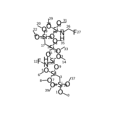 CO[Si](C[Si](OC)(OC)O[Si](NF)(OC)O[Si](C[Si](OC)(OC)O[Si](NCF)(OC)OC)(OC)OC)(OC)OC